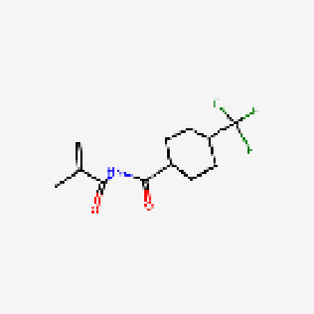 C=C(C)C(=O)NC(=O)C1CCC(C(F)(F)F)CC1